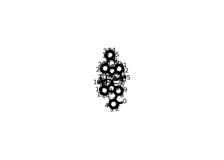 Cc1ccccc1-c1cccc2c1-c1cccc(C(C)(C)C)c1[CH]2[Fe][CH]1c2cccc(-c3ccccc3C)c2-c2cccc(C(C)(C)C)c21